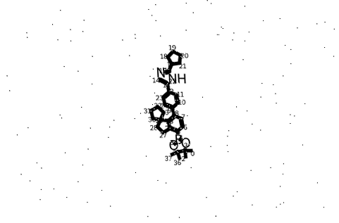 CC1(C)OB(c2ccc(-c3ccc(-c4cnc(C5CCCC5)[nH]4)cc3)c3c2CCC32CCCC2)OC1(C)C